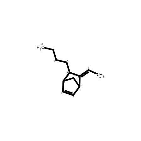 C/C=C1\C2C=CC(C2)C1CCCC